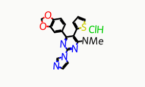 CNc1nc(-n2ccnc2)nc(-c2ccc3c(c2)OCO3)c1-c1cccs1.Cl